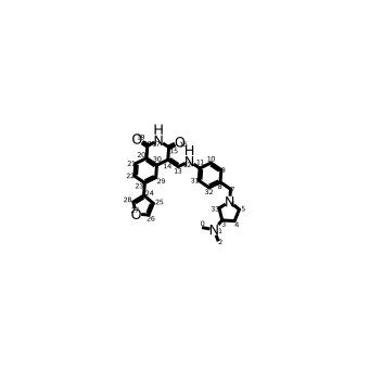 CN(C)C1CCN(Cc2ccc(NC=C3C(=O)NC(=O)c4ccc(-c5ccoc5)cc43)cc2)C1